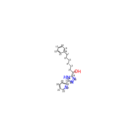 OC(CCCCCCc1ccccc1)c1nnc(-c2ccccn2)[nH]1